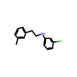 Cc1cccc(CCNc2cccc(Cl)c2)c1